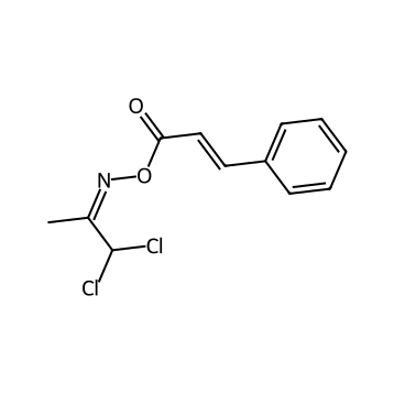 CC(=NOC(=O)C=Cc1ccccc1)C(Cl)Cl